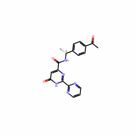 CC(=O)c1ccc([C@@H](C)NC(=O)c2cc(=O)[nH]c(-c3ncccn3)n2)cc1